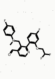 CN(Cc1c(C=O)ccnc1-c1ccc(F)cc1OCC(F)F)c1ccc(F)cc1